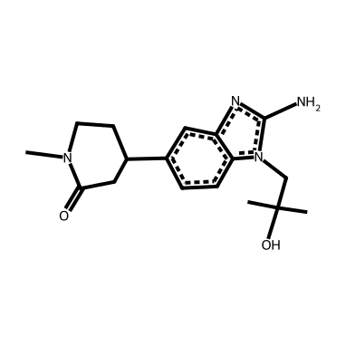 CN1CCC(c2ccc3c(c2)nc(N)n3CC(C)(C)O)CC1=O